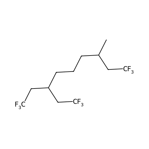 CC(CCCC(CC(F)(F)F)CC(F)(F)F)CC(F)(F)F